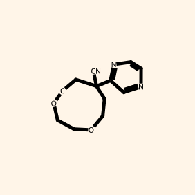 N#CC1(c2cnccn2)CCOCCOCC1